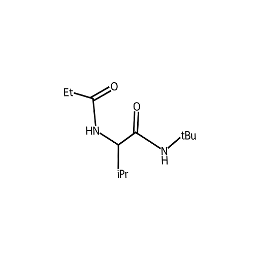 CCC(=O)NC(C(=O)NC(C)(C)C)C(C)C